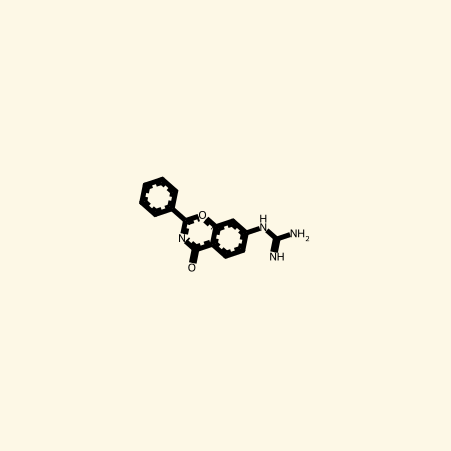 N=C(N)Nc1ccc2c(=O)nc(-c3ccccc3)oc2c1